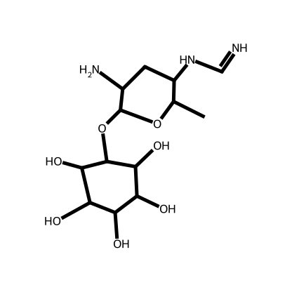 CC1OC(OC2C(O)C(O)C(O)C(O)C2O)C(N)CC1NC=N